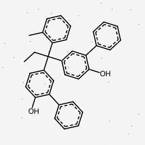 CCC(c1ccc(O)c(-c2ccccc2)c1)(c1ccc(O)c(-c2ccccc2)c1)c1ccccc1C